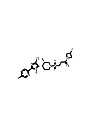 C[C@H]1CN(S(=O)(=O)CCC(=O)N2CC(F)C2)CC[C@H]1c1[nH]c(-c2ccc(F)cn2)nc1Cl